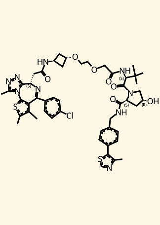 Cc1ncsc1-c1ccc(CNC(=O)[C@@H]2C[C@@H](O)CN2C(=O)[C@@H](NC(=O)COCCO[C@H]2C[C@H](NC(=O)C[C@@H]3N=C(c4ccc(Cl)cc4)c4c(sc(C)c4C)-n4c(C)nnc43)C2)C(C)(C)C)cc1